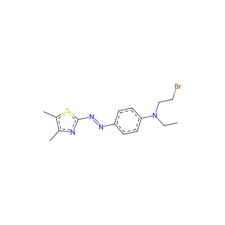 CCN(CCBr)c1ccc(N=Nc2nc(C)c(C)s2)cc1